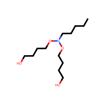 CCCCCN(OCCCCO)OCCCCO